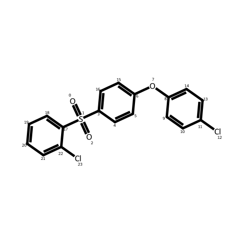 O=S(=O)(c1ccc(Oc2ccc(Cl)cc2)cc1)c1ccccc1Cl